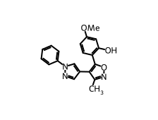 COc1ccc(-c2onc(C)c2-c2cnn(-c3ccccc3)c2)c(O)c1